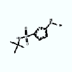 CC(C)(C)NS(=O)(=O)c1ccc(BO)s1